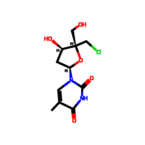 Cc1cn([C@H]2C[C@@H](O)[C@](CO)(CCl)O2)c(=O)[nH]c1=O